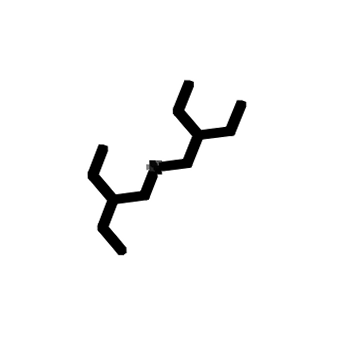 CCC(CC)C[N]CC(CC)CC